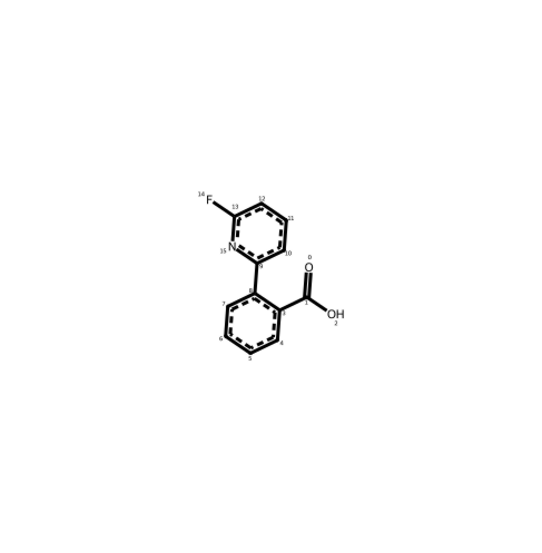 O=C(O)c1ccccc1-c1cccc(F)n1